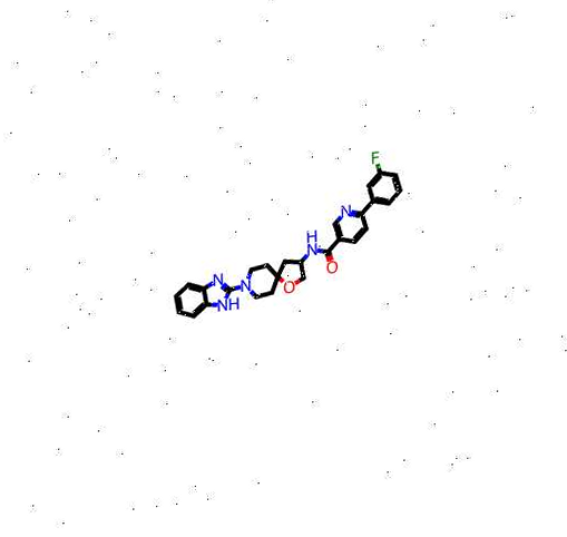 O=C(NC1COC2(CCN(c3nc4ccccc4[nH]3)CC2)C1)c1ccc(-c2cccc(F)c2)nc1